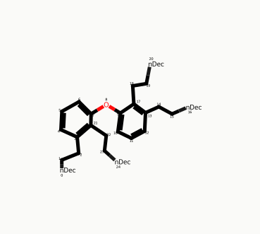 CCCCCCCCCCCCc1cccc(Oc2cccc(CCCCCCCCCCCC)c2CCCCCCCCCCCC)c1CCCCCCCCCCCC